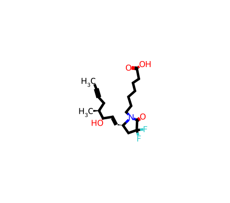 CC#CC[C@H](C)[C@@H](O)C=C[C@H]1CC(F)(F)C(=O)N1CCCCCCC(=O)O